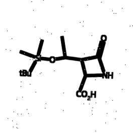 CC(O[Si](C)(C)C(C)(C)C)C1C(=O)NC1C(=O)O